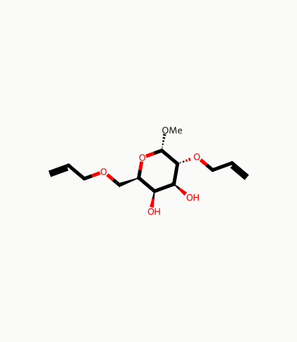 C=CCOC[C@H]1O[C@H](OC)[C@H](OCC=C)[C@@H](O)[C@H]1O